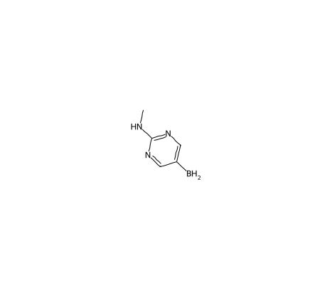 Bc1cnc(NC)nc1